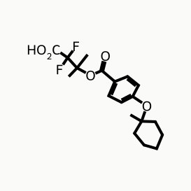 CC1(Oc2ccc(C(=O)OC(C)(C)C(F)(F)C(=O)O)cc2)CCCCC1